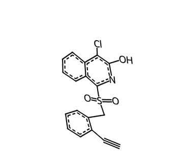 C#Cc1ccccc1CS(=O)(=O)c1nc(O)c(Cl)c2ccccc12